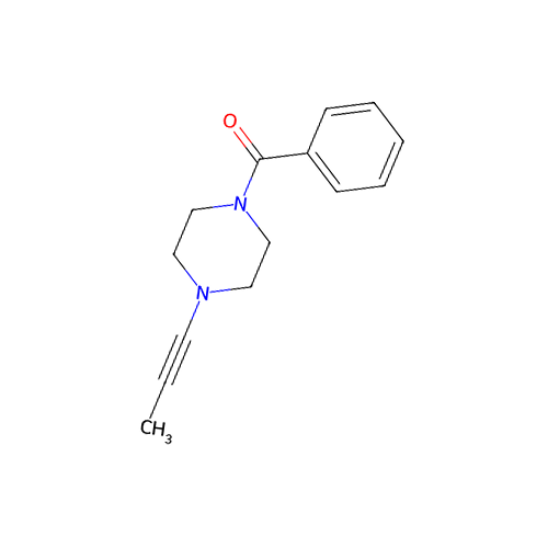 CC#CN1CCN(C(=O)c2ccccc2)CC1